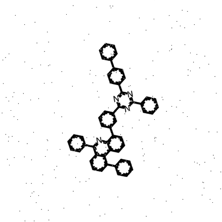 c1ccc(-c2ccc(-c3nc(-c4ccccc4)nc(-c4cccc(-c5cccc6c5nc(-c5ccccc5)c5cccc(-c7ccccc7)c56)c4)n3)cc2)cc1